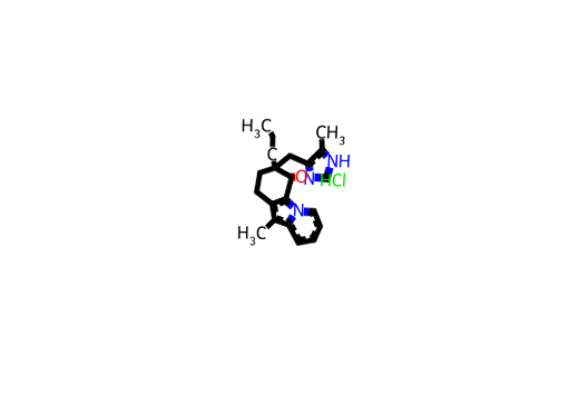 CCCC1(Cc2nc[nH]c2C)CCc2c(C)c3ccccn3c2C1=O.Cl